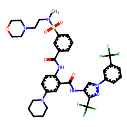 CN(CCN1CCOCC1)S(=O)(=O)c1cccc(C(=O)Nc2ccc(N3CCCCC3)cc2C(=O)Nc2cn(-c3cccc(C(F)(F)F)c3)nc2C(F)(F)F)c1